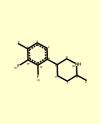 Cc1ccc(C2CCC(C)NC2)c(F)c1F